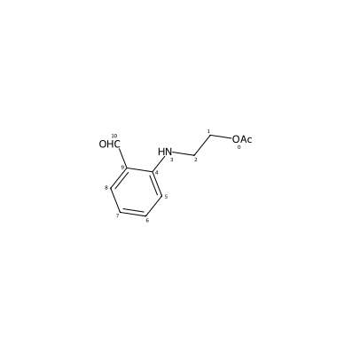 CC(=O)OCCNc1ccccc1C=O